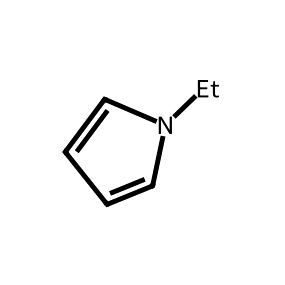 [CH2]Cn1cccc1